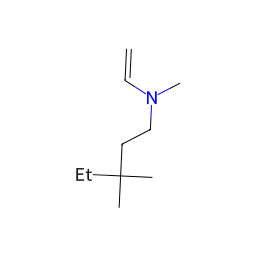 C=CN(C)CCC(C)(C)CC